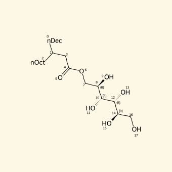 CCCCCCCCCCC(CCCCCCCC)CC(=O)OC[C@@H](O)[C@@H](O)[C@H](O)[C@H](O)CO